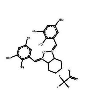 CC(C)(C)c1cc(C=[N+]2[Co][N+](=Cc3cc(C(C)(C)C)cc(C(C)(C)C)c3O)C3CCCCC32)c(O)c(C(C)(C)C)c1.O=C([O-])C(F)(F)F